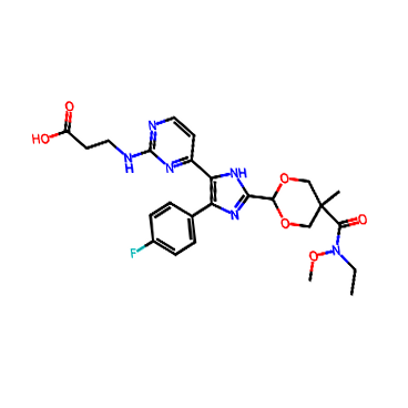 CCN(OC)C(=O)C1(C)COC(c2nc(-c3ccc(F)cc3)c(-c3ccnc(NCCC(=O)O)n3)[nH]2)OC1